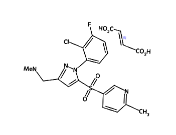 CNCc1cc(S(=O)(=O)c2ccc(C)nc2)n(-c2cccc(F)c2Cl)n1.O=C(O)/C=C/C(=O)O